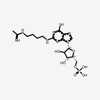 CC(=N)NCCCCNc1nc(S)c2ncn([C@@H]3O[C@H](COP(=O)(O)O)[C@H](O)C3O)c2n1